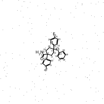 NC(=O)C1(c2ccc(F)cc2)CCC(Oc2ccccc2)(c2ccc(F)cn2)CC1